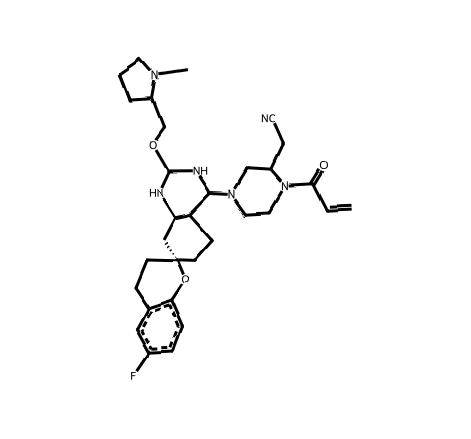 C=CC(=O)N1CCN(C2NC(OCC3CCCN3C)NC3C[C@]4(CCc5cc(F)ccc5O4)CCC32)CC1CC#N